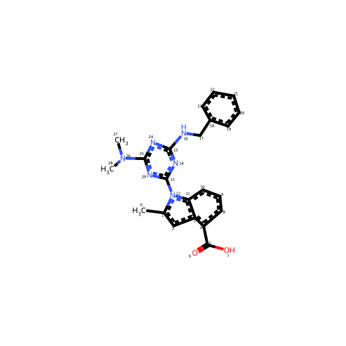 Cc1cc2c(C(=O)O)cccc2n1-c1nc(NCc2ccccc2)nc(N(C)C)n1